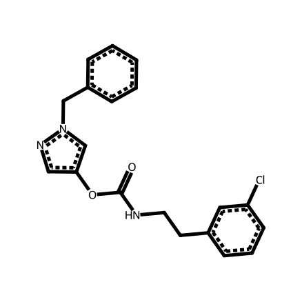 O=C(NCCc1cccc(Cl)c1)Oc1cnn(Cc2ccccc2)c1